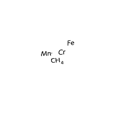 C.[Cr].[Fe].[Mn]